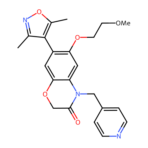 COCCOc1cc2c(cc1-c1c(C)noc1C)OCC(=O)N2Cc1ccncc1